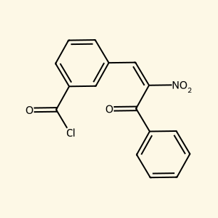 O=C(Cl)c1cccc(C=C(C(=O)c2ccccc2)[N+](=O)[O-])c1